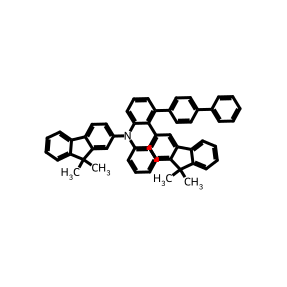 CC1(C)c2ccccc2-c2cc(-c3c(-c4ccc(-c5ccccc5)cc4)cccc3N(c3ccccc3)c3ccc4c(c3)C(C)(C)c3ccccc3-4)ccc21